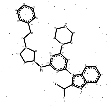 FC(F)c1nc2ccccc2n1-c1cc(N2CCOCC2)nc(N[C@H]2CCN(CCc3ccccc3)C2)n1